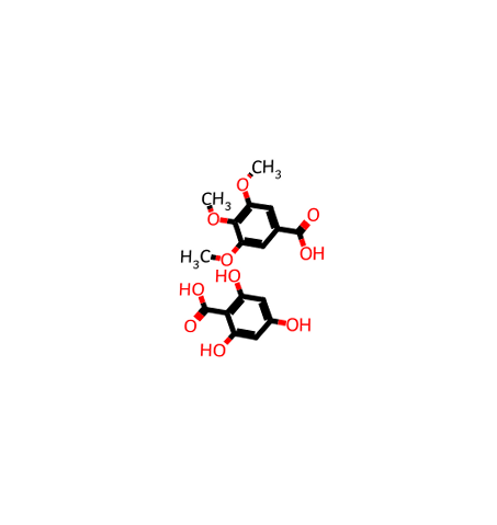 COc1cc(C(=O)O)cc(OC)c1OC.O=C(O)c1c(O)cc(O)cc1O